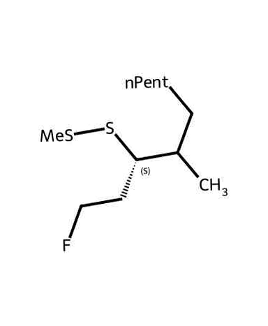 CCCCCCC(C)[C@H](CCF)SSC